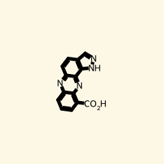 O=C(O)c1cccc2nc3ccc4cn[nH]c4c3nc12